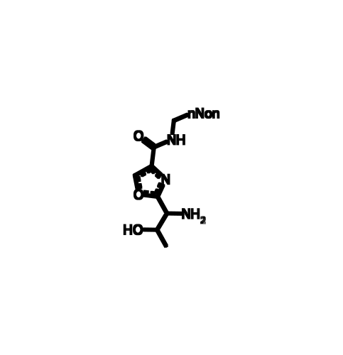 CCCCCCCCCCNC(=O)c1coc(C(N)C(C)O)n1